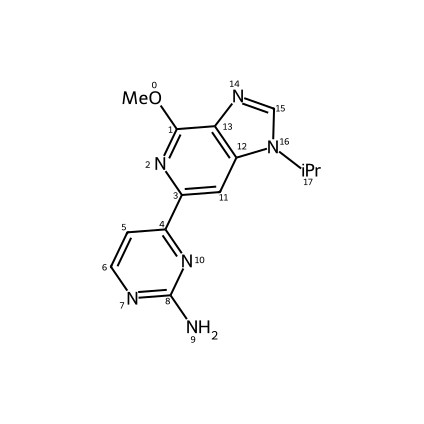 COc1nc(-c2ccnc(N)n2)cc2c1ncn2C(C)C